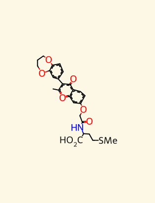 CSCCC(NC(=O)COc1ccc2c(=O)c(-c3ccc4c(c3)OCCCO4)c(C)oc2c1)C(=O)O